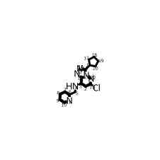 Clc1cc(NCc2ccccn2)c2nnc(C3CCCC3)n2n1